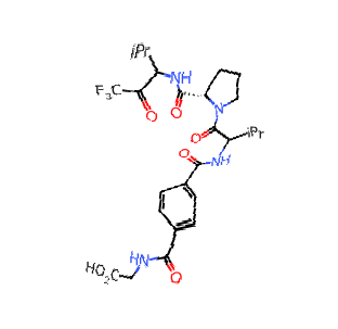 CC(C)C(NC(=O)c1ccc(C(=O)NCC(=O)O)cc1)C(=O)N1CCC[C@H]1C(=O)NC(C(=O)C(F)(F)F)C(C)C